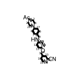 CC(=O)N1CCN(c2ccc(CNc3ccc(OCc4ccnc(C#N)c4)nn3)cc2)CC1